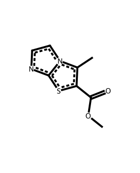 COC(=O)c1sc2nccn2c1C